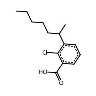 CCCCCC(C)c1cccc(C(=O)O)c1Cl